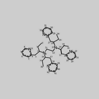 CCC(Cc1ccccn1)N(CCN(C(CC)Cc1ccccn1)C(CC)Cc1ccccn1)C(CC)Cc1ccccn1